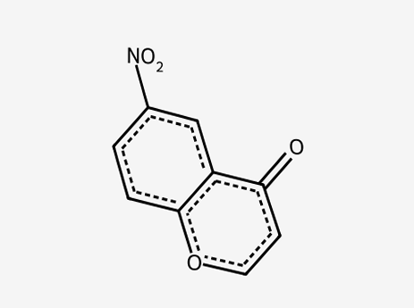 O=c1ccoc2ccc([N+](=O)[O-])cc12